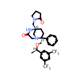 C[C@@H](OC[C@@]1(c2ccccc2)CC[C@]2(CN3CCCC3=O)CN1CC(=O)N2)c1cc(C(F)(F)F)cc(C(F)(F)F)c1